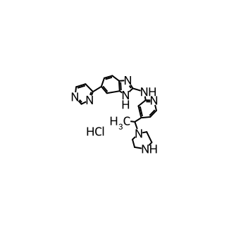 CC(c1ccnc(Nc2nc3ccc(-c4ccncn4)cc3[nH]2)c1)N1CCNCC1.Cl